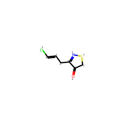 O=C1CSN=C1CC=CCl